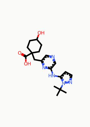 CC(C)(C)n1nccc1Nc1cncc(CC2(C(=O)O)CCC(O)CC2)n1